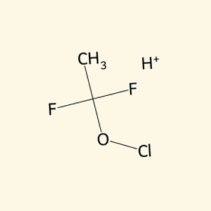 CC(F)(F)OCl.[H+]